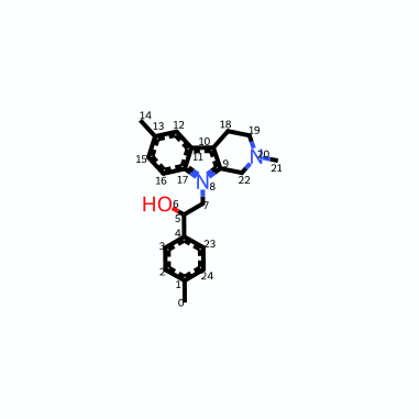 Cc1ccc(C(O)Cn2c3c(c4cc(C)ccc42)CCN(C)C3)cc1